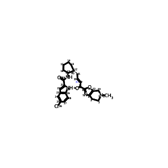 CN1CCc2nc(C(=O)/C=C/C[C@H]3CCCC[C@@H]3NC(=O)c3cc4cc(Cl)ccc4[nH]3)oc2C1